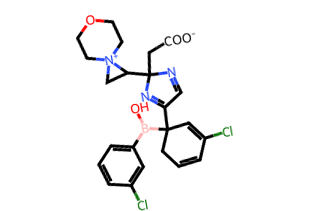 O=C([O-])CC1(C2C[N+]23CCOCC3)N=CC(C2(B(O)c3cccc(Cl)c3)C=C(Cl)C=CC2)=N1